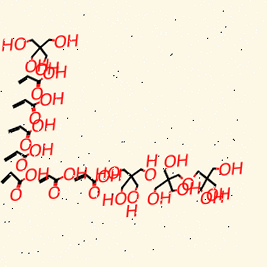 C=CC(=O)O.C=CC(=O)O.C=CC(=O)O.C=CC(=O)O.C=CC(=O)O.C=CC(=O)O.C=CC(=O)O.OCC(CO)(CO)CO.OCC(CO)(CO)CO.OCC(CO)(CO)COCC(CO)(CO)CO